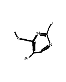 CSc1nc(I)ncc1Br